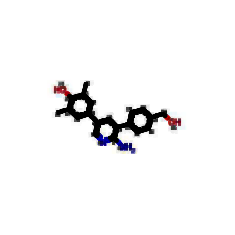 Cc1cc(-c2cnc(N)c(-c3ccc(CO)cc3)c2)cc(C)c1O